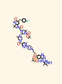 Cc1[nH]nc(Nc2ncnc3cc(OCCCN4CCN(c5ncc(C(=O)N6CCN(C[C@H]7CN(C(=O)OC(C)(C)C)[C@H](C)CN7CC(=O)N7CC(C)(C)c8c7cc(Cc7ccc(F)cc7)c(=O)n8C)[C@H](C)C6)cn5)CC4)c(S(=O)(=O)C(C)(C)C)cc23)c1C